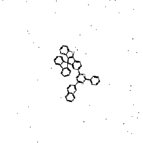 c1ccc(-c2nc(-c3ccc4c(c3)C3(c5ccccc5-c5ccccc53)c3c-4oc4ccccc34)cc(-c3ccc4ccccc4c3)n2)cc1